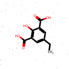 CCc1cc(C(=O)O)c(O)c(C(=O)O)c1